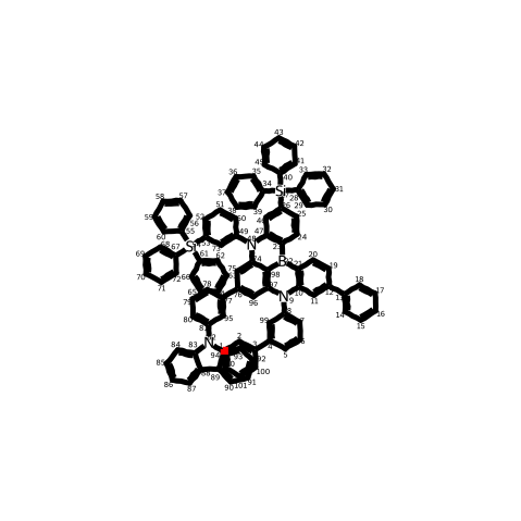 c1ccc(-c2cccc(N3c4cc(-c5ccccc5)ccc4B4c5ccc([Si](c6ccccc6)(c6ccccc6)c6ccccc6)cc5N(c5cccc([Si](c6ccccc6)(c6ccccc6)c6ccccc6)c5)c5cc(-c6cccc(-n7c8ccccc8c8ccccc87)c6)cc3c54)c2)cc1